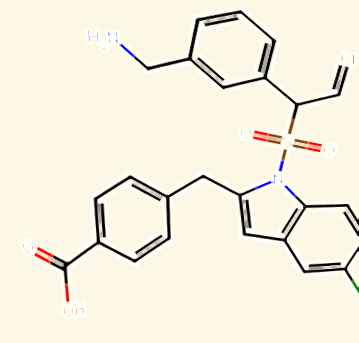 C=CC(c1cccc(CN)c1)S(=O)(=O)n1c(Cc2ccc(C(=O)O)cc2)cc2cc(Cl)ccc21